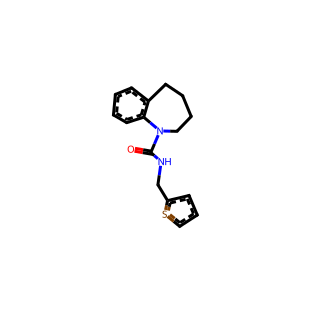 O=C(NCc1cccs1)N1CCCCc2ccccc21